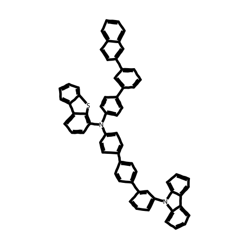 c1cc(-c2ccc(N(c3ccc(-c4ccc(-c5cccc(-n6c7ccccc7c7ccccc76)c5)cc4)cc3)c3cccc4c3sc3ccccc34)cc2)cc(-c2ccc3ccccc3c2)c1